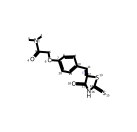 CN(C)C(=O)COc1ccc(/C=C2/SC(=S)NC2=O)cc1